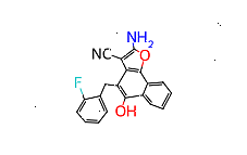 N#Cc1c(N)oc2c1c(Cc1ccccc1F)c(O)c1ccccc12